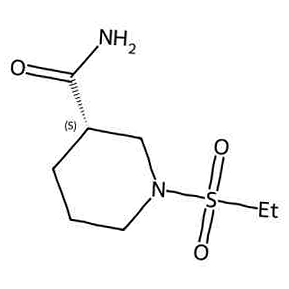 CCS(=O)(=O)N1CCC[C@H](C(N)=O)C1